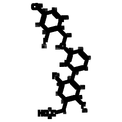 O=C(O)Cc1cc(F)c(-c2cccc(OCc3ncc(Cl)cc3F)n2)cc1F